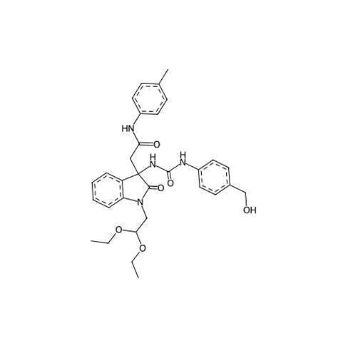 CCOC(CN1C(=O)C(CC(=O)Nc2ccc(C)cc2)(NC(=O)Nc2ccc(CO)cc2)c2ccccc21)OCC